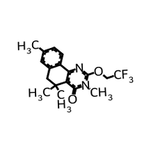 Cc1ccc2c(c1)CC(C)(C)c1c-2nc(OCC(F)(F)F)n(C)c1=O